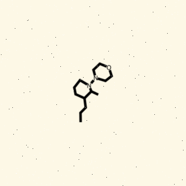 CCCC1CCCN(N2CCOCC2)C1C